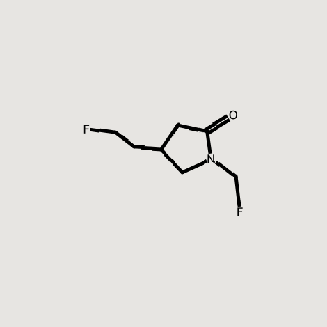 O=C1CC(CCF)CN1CF